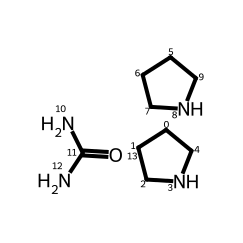 C1CCNC1.C1CCNC1.NC(N)=O